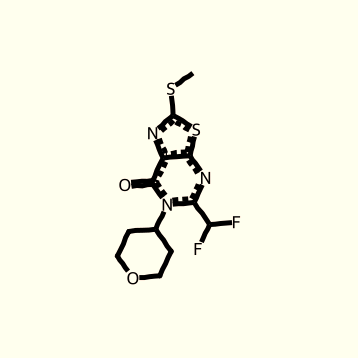 CSc1nc2c(=O)n(C3CCOCC3)c(C(F)F)nc2s1